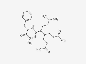 CNC(=O)[C@H](Cc1ccccc1)NC(=O)N(CCC(C)C)C(CSC(C)=O)CSC(C)=O